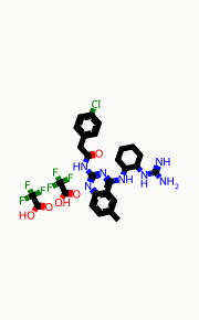 Cc1ccc2nc(NC(=O)Cc3ccc(Cl)cc3)nc(NC3CCCCC3NC(=N)N)c2c1.O=C(O)C(F)(F)F.O=C(O)C(F)(F)F